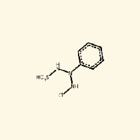 O=S(=O)(O)NN(NCl)c1ccccc1